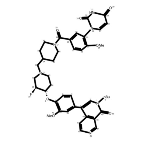 CCCCn1cc(-c2ccc(O[C@H]3CCN(CC4CCN(C(=O)c5ccc(OC)c(-n6ccc(=O)[nH]c6=O)c5)CC4)C[C@@H]3F)c(OC)c2)c2ccncc2c1=O